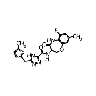 Cc1cc(F)c2c(c1)OCC(NC(=O)c1nnc(Cc3ccc(C)s3)[nH]1)C(=O)N2